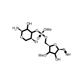 CC[C@H]1CO[C@@H](N)C(O)C1OP(=O)(OC)OC[C@H]1O[C@@H](N=N)C(O)C1OC